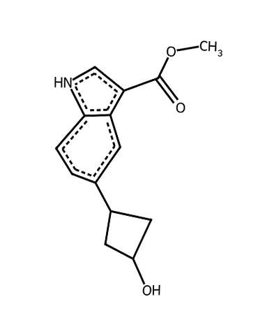 COC(=O)c1c[nH]c2ccc(C3CC(O)C3)cc12